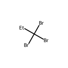 CCC(Br)(Br)Br